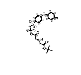 CC(C)(C)OC(=O)CNCC(=O)OC(C)(C)CS(=O)(=O)c1ccc(Oc2ccc(F)cc2)cc1